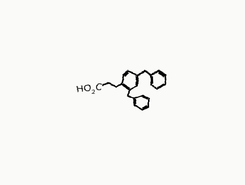 O=C(O)CCc1ccc(Cc2ccccc2)cc1Cc1ccccc1